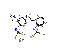 CCc1ccccc1NC(=S)[S-].CCc1ccccc1NC(=S)[S-].[Zn+2]